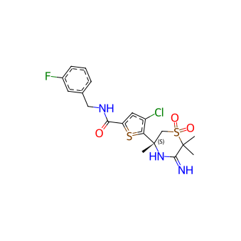 CC1(C)C(=N)N[C@](C)(c2sc(C(=O)NCc3cccc(F)c3)cc2Cl)CS1(=O)=O